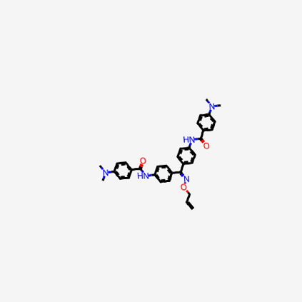 C=CCON=C(c1ccc(NC(=O)c2ccc(N(C)C)cc2)cc1)c1ccc(NC(=O)c2ccc(N(C)C)cc2)cc1